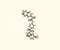 O=C(NCc1ccc(S(=O)(=O)c2cnc3ccc(Cl)cn23)cc1)c1ccc2ccncc2c1